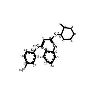 CC1CCCCC1SC(C=CSc1ccc(F)cc1)=Nc1ccccc1